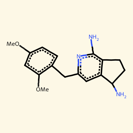 COc1ccc(Cc2cc3c(c(N)n2)CCC3N)c(OC)c1